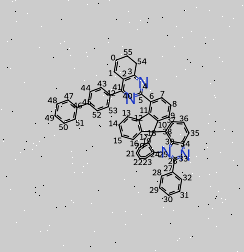 C1=Cc2c(nc(-c3cccc4c3-c3ccccc3C43c4ccccc4-n4c(-c5ccccc5)nc5cccc3c54)nc2-c2ccc(-c3ccccc3)cc2)CC1